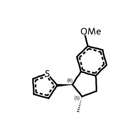 COc1ccc2c(c1)[C@H](c1cccs1)[C@@H](C)C2